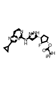 CC(C)NC(=O)O[C@H]1CC[C@@H](c2cc(Nc3nccc4nc(C5CC5)cn34)n[nH]2)[C@H]1F